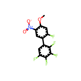 COc1cc(F)c(-c2cc(F)c(F)c(F)c2F)cc1[N+](=O)[O-]